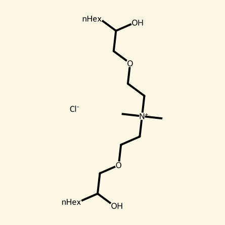 CCCCCCC(O)COCC[N+](C)(C)CCOCC(O)CCCCCC.[Cl-]